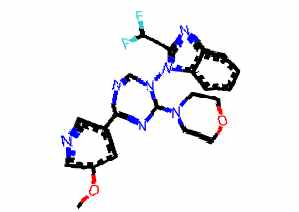 COc1cncc(C2=NC(N3CCOCC3)N(n3c(C(F)F)nc4ccccc43)C=N2)c1